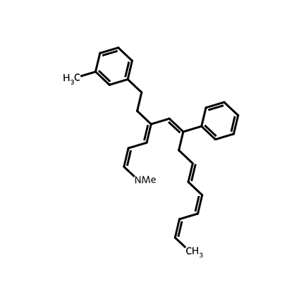 C\C=C/C=C\C=C\C\C(=C/C(=C/C=C\NC)CCc1cccc(C)c1)c1ccccc1